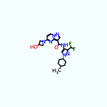 C[C@H]1CC[C@H](n2cc(NC(=O)c3cnn4ccc(N5CC(O)C5)nc34)c(C(F)F)n2)CC1